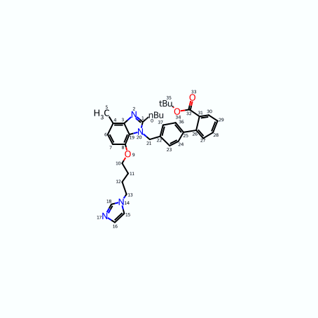 CCCCc1nc2c(C)ccc(OCCCCn3ccnc3)c2n1Cc1ccc(-c2ccccc2C(=O)OC(C)(C)C)cc1